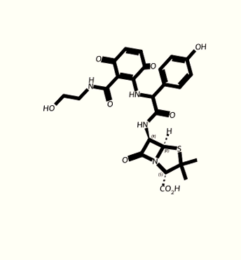 CC1(C)S[C@@H]2[C@H](NC(=O)C(NC3=C(C(=O)NCCO)C(=O)C=CC3=O)c3ccc(O)cc3)C(=O)N2[C@H]1C(=O)O